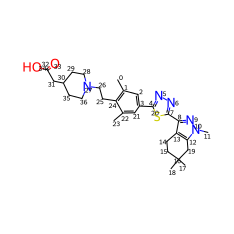 Cc1cc(-c2nnc(-c3nn(C)c4c3CCC(C)(C)C4)s2)cc(C)c1CCN1CCC(CC(=O)O)CC1